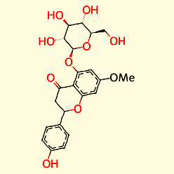 COc1cc2c(c(O[C@@H]3O[C@H](CO)[C@@H](O)[C@H](O)[C@H]3O)c1)C(=O)CC(c1ccc(O)cc1)O2